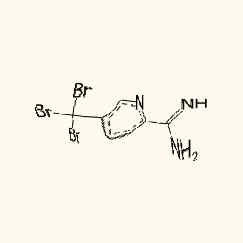 N=C(N)c1ccc(C(Br)(Br)Br)cn1